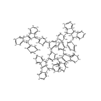 c1ccc(-n2c3ccccc3c3c4ccccc4n(-c4ccc(-c5cc(-c6ccc(-n7c8ccccc8c8c9ccccc9n(-c9ccccc9)c87)cc6)cc(-c6cc(-n7c8ccccc8c8c9ccccc9n(-c9ccccc9)c87)cc(-n7c8ccccc8c8c9ccccc9n(-c9ccccc9)c87)c6)c5)cc4)c32)cc1